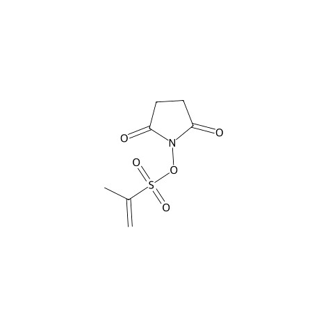 C=C(C)S(=O)(=O)ON1C(=O)CCC1=O